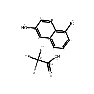 CCc1cccc2cc(O)ccc12.O=C(O)C(F)(F)F